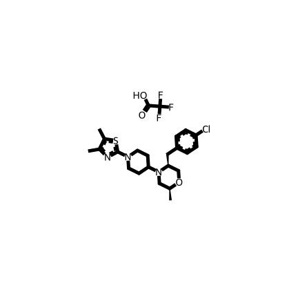 Cc1nc(N2CCC(N3C[C@H](C)OC[C@@H]3Cc3ccc(Cl)cc3)CC2)sc1C.O=C(O)C(F)(F)F